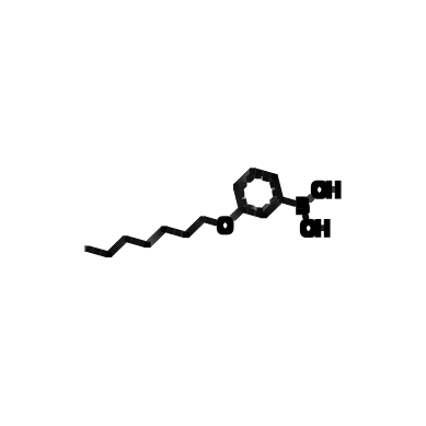 CCCCCCCOc1cccc(B(O)O)c1